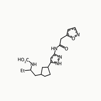 CCC(CC1CCC(c2cc(NC(=O)Cc3ccno3)n[nH]2)C1)NC(=O)O